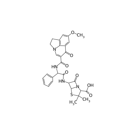 COc1cc2c3c(c1)c(=O)c(C(=O)NC(C(=O)NC1C(=O)N4C1SC(C)(C)C4C(=O)O)c1ccccc1)cn3CC2